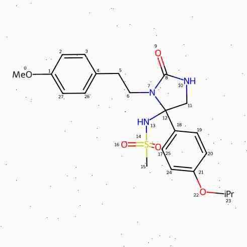 COc1ccc(CCN2C(=O)NCC2(NS(C)(=O)=O)c2ccc(OC(C)C)cc2)cc1